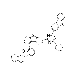 c1ccc(-c2nc(-c3ccc4c(c3)sc3ccccc34)nc(-c3ccc4c(c3)sc3cccc(-c5cccc6c5oc5c7ccccc7ccc65)c34)n2)cc1